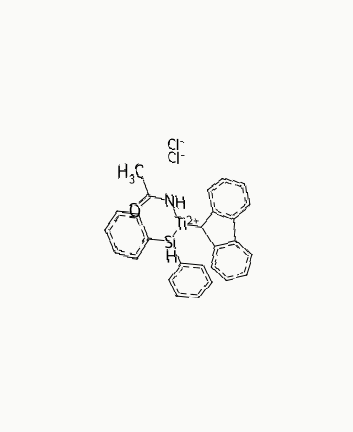 CC(=O)[NH][Ti+2]([CH]1c2ccccc2-c2ccccc21)[SiH](c1ccccc1)c1ccccc1.[Cl-].[Cl-]